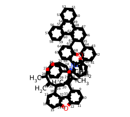 C=C(/N=C(\C(C)=C(/C)c1cccc2oc3cccc(/C4=C/CC(C)/C=C\C=C/C(C)C4=C)c3c12)c1ccccc1)c1cccc(-c2ccc3c4ccccc4c4ccccc4c3c2-c2cccc3c2oc2ccccc23)c1